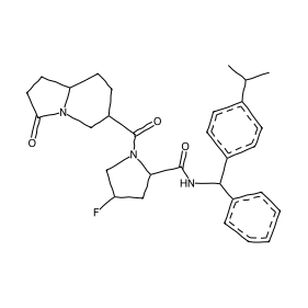 CC(C)c1ccc(C(NC(=O)C2CC(F)CN2C(=O)C2CCC3CCC(=O)N3C2)c2ccccc2)cc1